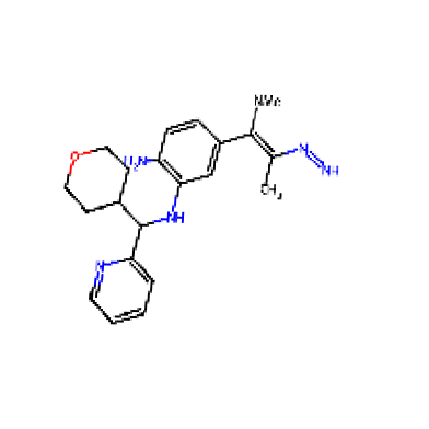 CN/C(=C(/C)N=N)c1ccc(N)c(NC(c2ccccn2)C2CCOCC2)c1